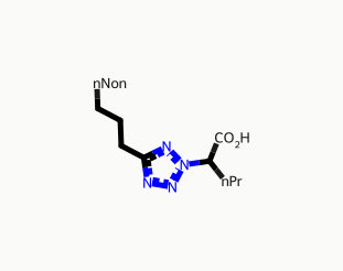 CCCCCCCCCCCCc1nnn(C(CCC)C(=O)O)n1